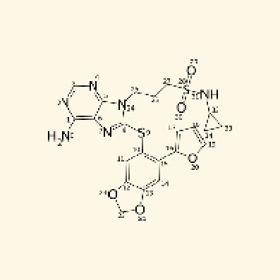 Nc1ncnc2c1nc(Sc1cc3c(cc1-c1ccco1)OCO3)n2CCCS(=O)(=O)NC1CC1